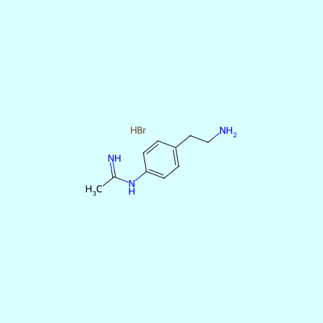 Br.CC(=N)Nc1ccc(CCN)cc1